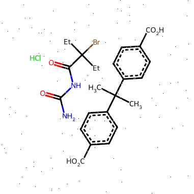 CC(C)(c1ccc(C(=O)O)cc1)c1ccc(C(=O)O)cc1.CCC(Br)(CC)C(=O)NC(N)=O.Cl